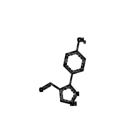 Cc1ccc(-c2n[nH]cc2C=O)cc1